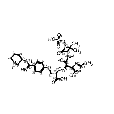 CC1(C)[C@H](NC(=O)/C(=N\O[C@@H](COc2ccc(C(=N)N[C@@H]3CCCNC3)cc2)C(=O)O)c2nc(N)sc2Cl)C(=O)N1OS(=O)(=O)O